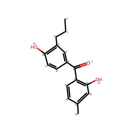 CCCc1cc(C(=O)c2ccc(C)cc2O)ccc1O